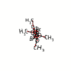 CCCCCCCCOc1ccc(C2(c3ccc(OCCCCCCCC)cc3)c3cc(Br)sc3-c3sc4c5c(sc4c32)-c2sc(Br)cc2C5(c2ccc(OCCCCCCCC)cc2)c2ccc(OCCCCCCCC)cc2)cc1